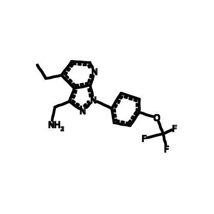 CCc1ccnc2c1c(CN)nn2-c1ccc(OC(F)(F)F)cc1